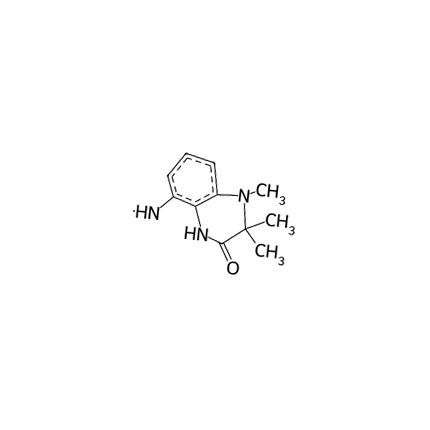 CN1c2cccc([NH])c2NC(=O)C1(C)C